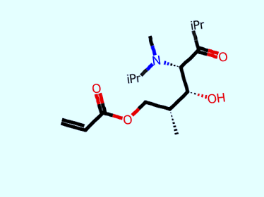 C=CC(=O)OC[C@@H](C)[C@@H](O)[C@@H](C(=O)C(C)C)N(C)C(C)C